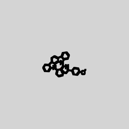 COc1ccc(-c2cccc(-n3c4ccccc4c4ccc5c6ccccc6n(-c6ccccc6)c5c43)n2)cc1